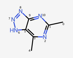 Cc1nc(C)c2[nH]nnc2n1